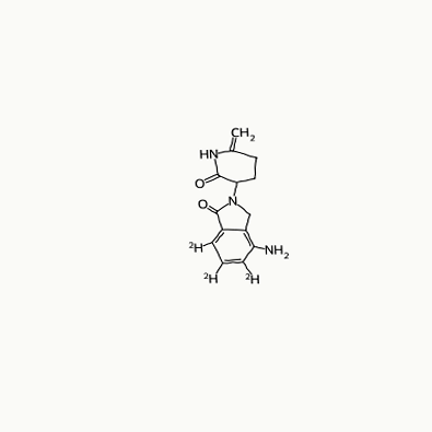 [2H]c1c([2H])c(N)c2c(c1[2H])C(=O)N(C1CCC(=C)NC1=O)C2